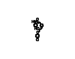 O=c1[nH]c2ccccc2n1CC1CCN(CC(O)COc2ccc(Cl)cc2)C1